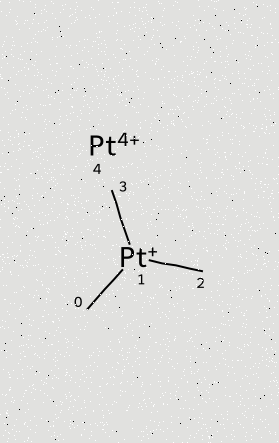 [CH3][Pt+]([CH3])[CH3].[Pt+4]